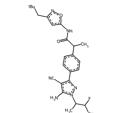 CC(C(=O)Nc1cc(CC(C)(C)C)no1)c1ccc(-c2nn(C(C)C(C)F)c(N)c2C#N)cc1